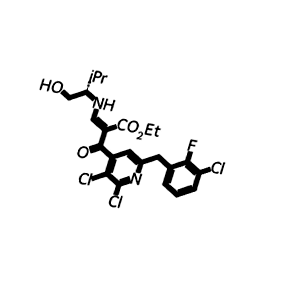 CCOC(=O)/C(=C\N[C@H](CO)C(C)C)C(=O)c1cc(Cc2cccc(Cl)c2F)nc(Cl)c1Cl